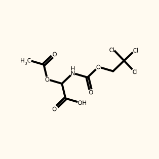 CC(=O)OC(NC(=O)OCC(Cl)(Cl)Cl)C(=O)O